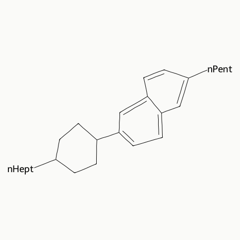 CCCCCCCC1CCC(c2ccc3cc(CCCCC)ccc3c2)CC1